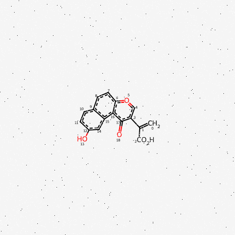 C=C(C(=O)O)c1coc2ccc3ccc(O)cc3c2c1=O